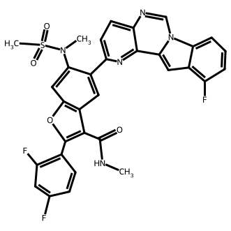 CNC(=O)c1c(-c2ccc(F)cc2F)oc2cc(N(C)S(C)(=O)=O)c(-c3ccc4ncn5c6cccc(F)c6cc5c4n3)cc12